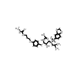 CNC(=O)OCCCOc1ccc(C[C@H](NC(=O)O)[C@H](O)CN(CC(C)C)S(=O)(=O)c2ccc3c(c2)OCO3)cc1